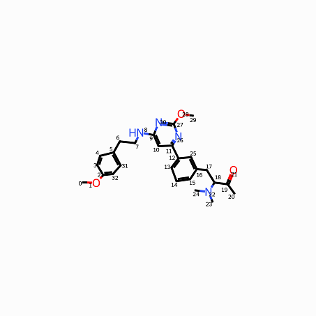 COc1ccc(CCNc2cc(-c3cccc(CC(C(C)=O)N(C)C)c3)nc(OC)n2)cc1